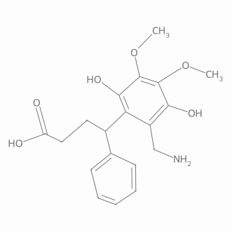 COc1c(O)c(CN)c(C(CCC(=O)O)c2ccccc2)c(O)c1OC